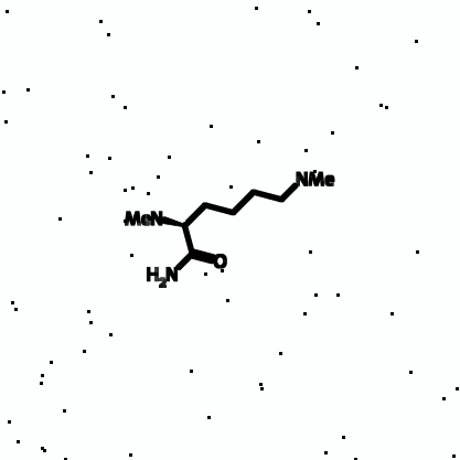 CNCCCC[C@H](NC)C(N)=O